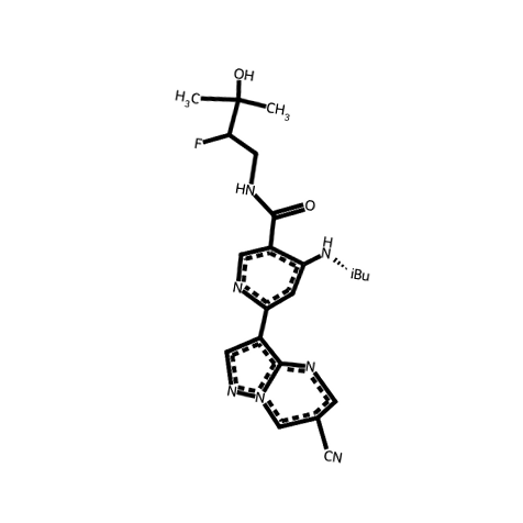 CC[C@@H](C)Nc1cc(-c2cnn3cc(C#N)cnc23)ncc1C(=O)NCC(F)C(C)(C)O